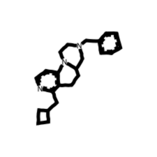 c1ccc(CN2CCN3c4ccnc(CC5CCC5)c4CCC3C2)cc1